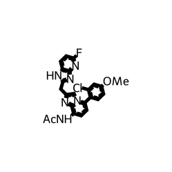 COc1ccc(-c2ccc(NC(C)=O)c3nc(Cc4nc5nc(F)ccc5[nH]4)cn23)c(Cl)c1